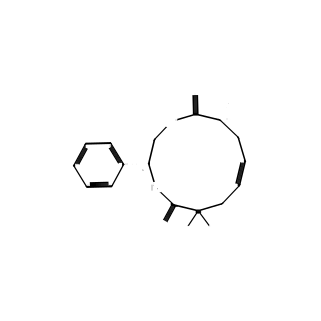 C[C@@H]1CC=CCC(F)(F)C(=O)N[C@H](c2ccccc2)COC1=O